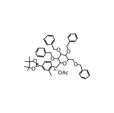 CC(=O)O[C@H](c1ccc(B2OC(C)(C)C(C)(C)O2)cc1C)C1OC(COCc2ccccc2)C(OCc2ccccc2)C(OCc2ccccc2)C1OCc1ccccc1